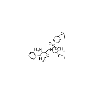 CO[C@H](CN(CC(C)C)S(=O)(=O)c1ccc2occc2c1)[C@@H](N)Cc1ccccc1